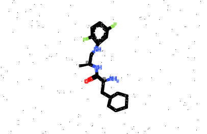 C[C@@H](CNc1cc(F)ccc1F)NC(=O)[C@@H](N)CC1CCCCC1